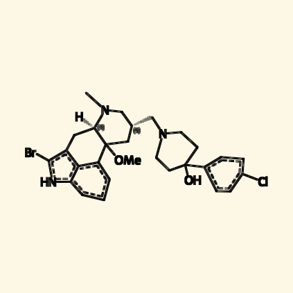 COC12C[C@@H](CN3CCC(O)(c4ccc(Cl)cc4)CC3)CN(C)[C@@H]1Cc1c(Br)[nH]c3cccc2c13